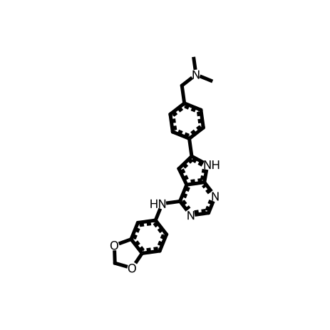 CN(C)Cc1ccc(-c2cc3c(Nc4ccc5c(c4)OCO5)ncnc3[nH]2)cc1